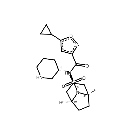 O=C(N[C@H]1C[C@H]2CC[C@@H](C1)N2S(=O)(=O)C[C@H]1CCCNC1)c1cc(C2CC2)on1